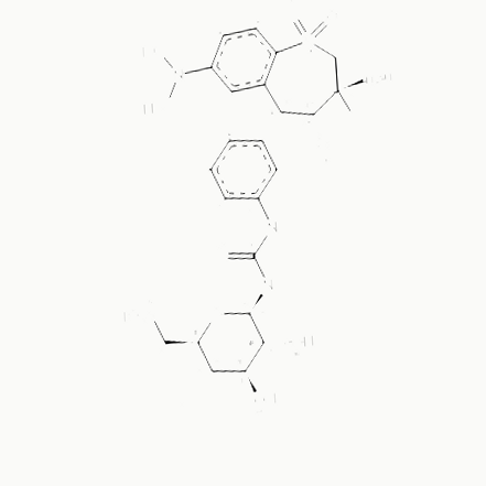 CCCC[C@]1(CC)CS(=O)(=O)c2ccc(N(C)C)cc2[C@@H](c2cccc(NC(=O)N[C@@H]3O[C@H](CS(=O)(=O)O)[C@@H](F)[C@H](O)[C@H]3O)c2)[C@H]1O